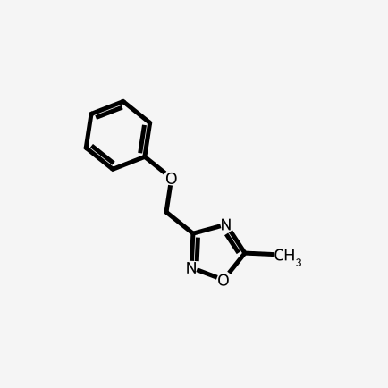 Cc1nc(COc2ccccc2)no1